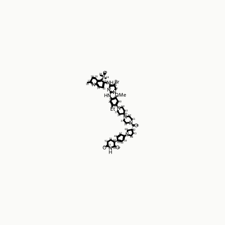 CCc1cc(Nc2ncc(Br)c(Nc3ccc4nc(C)ccc4c3P(C)(C)=O)n2)c(OC)cc1N1CCC(N2CCN(C(=O)[C@@H]3CCN(c4ccc([C@@H]5CCC(=O)NC5=O)cc4)C3)CC2)CC1